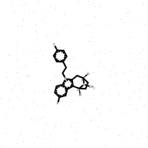 CN1[C@H]2CC[C@@H]1c1c(n(CCc3ccc(F)cc3)c3ccc(F)cc13)C2